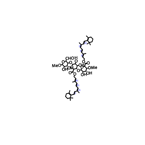 COC1OC(C=O)C(OC2OC(C(=O)OC/C=C(C)/C=C/C=C(C)\C=C\C3=C(C)CCCC3(C)C)C(OC3OC(C(=O)OC/C=C(C)/C=C/C=C(C)\C=C\C4=C(C)CCCC4(C)C)C(OC)C(O)C3O)C(O)C2O)C(O)C1O